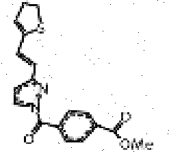 COC(=O)c1ccc(C(=O)n2ccc(/C=C/C3=CCCS3)n2)cc1